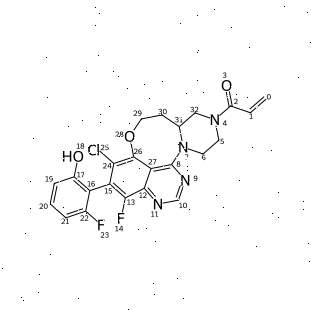 C=CC(=O)N1CCN2c3ncnc4c(F)c(-c5c(O)cccc5F)c(Cl)c(c34)OCCC2C1